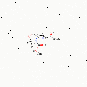 COC(=O)/C=C/[C@@H]1COC(C)(C)N1C(=O)OC(C)(C)C